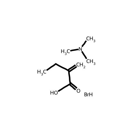 Br.C=C(CC)C(=O)O.CN(C)C